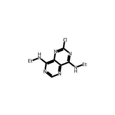 CCNc1nc(Cl)nc2c(NCC)ncnc12